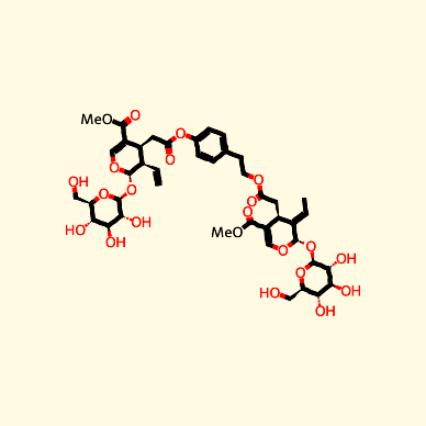 C=C[C@H]1[C@H](O[C@@H]2O[C@H](CO)[C@@H](O)[C@H](O)[C@H]2O)OC=C(C(=O)OC)[C@H]1CC(=O)Oc1ccc(CCOC(=O)C[C@@H]2C(C(=O)OC)=CO[C@@H](O[C@@H]3O[C@H](CO)[C@@H](O)[C@H](O)[C@H]3O)/C2=C/C)cc1